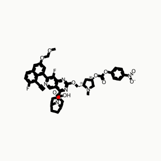 C#Cc1c(F)ccc2cc(OCOC)cc(-c3ncc4c(N5CC6CCC(C5)N6C(=O)O)nc(OC[C@@H]5C[C@@H](OC(=O)Oc6ccc([N+](=O)[O-])cc6)CN5C)nc4c3F)c12